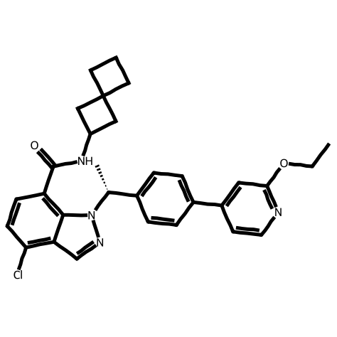 CCOc1cc(-c2ccc([C@@H](C)n3ncc4c(Cl)ccc(C(=O)NC5CC6(CCC6)C5)c43)cc2)ccn1